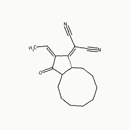 CC=C1C(=O)C2CCCCCCCCC2C1=C(C#N)C#N